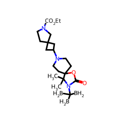 BC(B)(B)N1C(=O)OC2(CCN(C3CC4(CCN(C(=O)OCC)C4)C3)CC2)C1(C)C